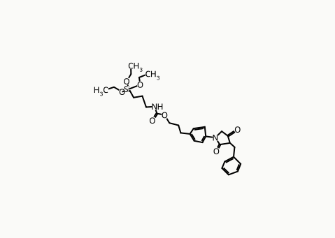 CCO[Si](CCCNC(=O)OCCCc1ccc(N2CC(=O)C(Cc3ccccc3)C2=O)cc1)(OCC)OCC